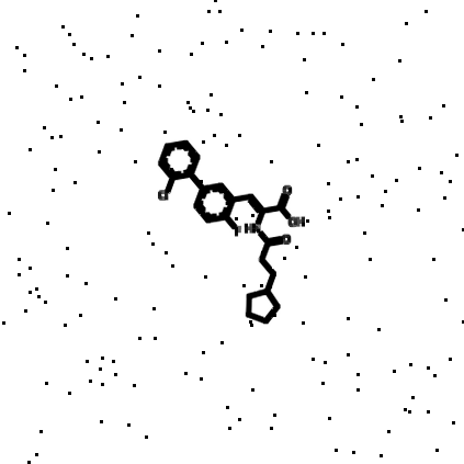 O=C(CCC1CCCC1)N/C(=C\c1cc(-c2ccccc2Cl)ccc1F)C(=O)O